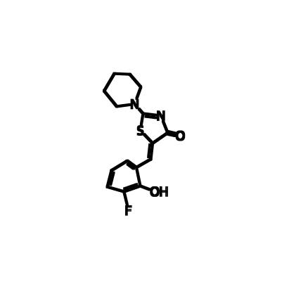 O=C1N=C(N2CCCCC2)SC1=Cc1cccc(F)c1O